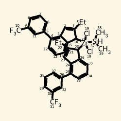 CCC1=Cc2c(-c3cccc(C(F)(F)F)c3)cccc2[CH]1[Zr]([Cl])([Cl])([CH]1C(CC)=Cc2c(-c3cccc(C(F)(F)F)c3)cccc21)[SiH](C)C